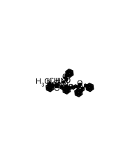 CN(C)c1ccccc1OC(=O)CN1Cc2cccc(OCCCC(=O)N(Cc3ccccc3)Cc3ccccc3)c2N=C1NC(=O)Oc1ccccc1